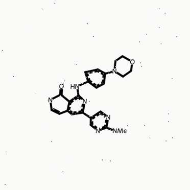 CNc1ncc(-c2cc3c(c(Nc4ccc(N5CCOCC5)cc4)n2)C(=O)[N]C=C3)cn1